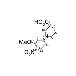 COc1cc(N2CCCC(C(=O)O)C2)ccc1[N+](=O)[O-]